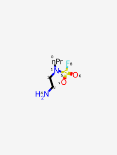 CCCN(CCN)S(=O)(=O)F